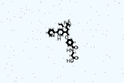 CCC[C@@H](CC(COc1ccc(C(=O)NCCC(=O)O)cc1)C1CC[C@H](c2ccccn2)NC1)C(F)(F)F